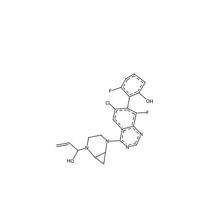 C=CC(O)N1CCN(c2ncnc3c(F)c(-c4c(O)cccc4F)c(Cl)cc23)C2CC21